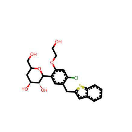 OCCOc1cc(Cl)c(Cc2cc3ccccc3s2)cc1C1OC(CO)C[C@H](O)[C@H]1O